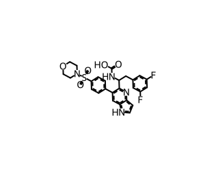 O=C(O)NC(Cc1cc(F)cc(F)c1)c1nc2cc[nH]c2cc1-c1ccc(S(=O)(=O)N2CCOCC2)cc1